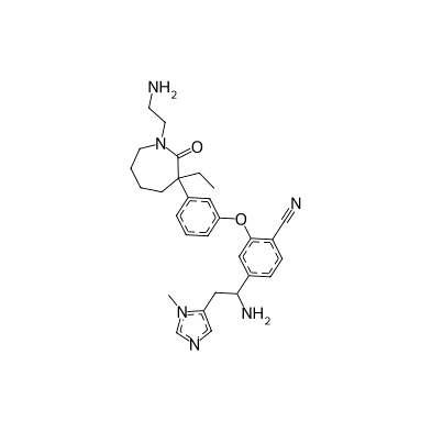 CCC1(c2cccc(Oc3cc(C(N)Cc4cncn4C)ccc3C#N)c2)CCCCN(CCN)C1=O